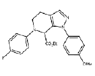 CCOC(=O)C1c2c(cnn2-c2ccc(OC)cc2)CCN1c1ccc(I)cc1